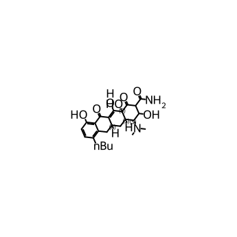 CCCCc1ccc(O)c2c1C[C@H]1C[C@H]3[C@H](N(C)C)C(O)C(C(N)=O)C(=O)[C@@]3(O)C(O)=C1C2=O